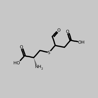 N[C@@H](CSC(C=O)CC(=O)O)C(=O)O